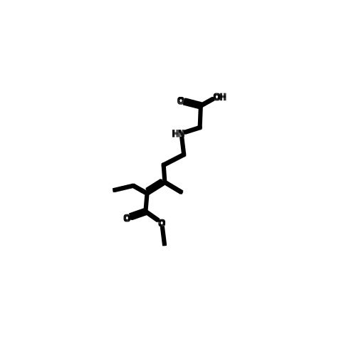 CCC(C(=O)OC)=C(C)CCNCC(=O)O